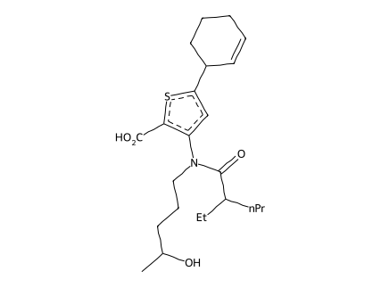 CCCC(CC)C(=O)N(CCCC(C)O)c1cc(C2C=CCCC2)sc1C(=O)O